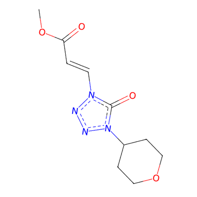 COC(=O)/C=C/n1nnn(C2CCOCC2)c1=O